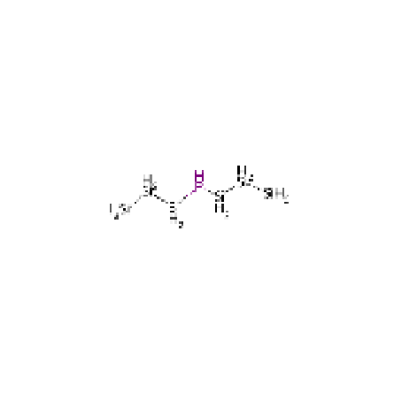 [SiH3][SiH2][SiH2]P[SiH2][SiH2][SiH3]